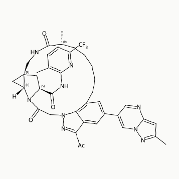 CC(=O)c1nn2c3c(cc(-c4cnc5cc(C)nn5c4)cc13)CCCCC[C@@H](C)C(=O)NC[C@@]13C[C@@H](C(=O)Nc4nc(C(F)(F)F)ccc4C)N(C(=O)C2)[C@@H]1C3